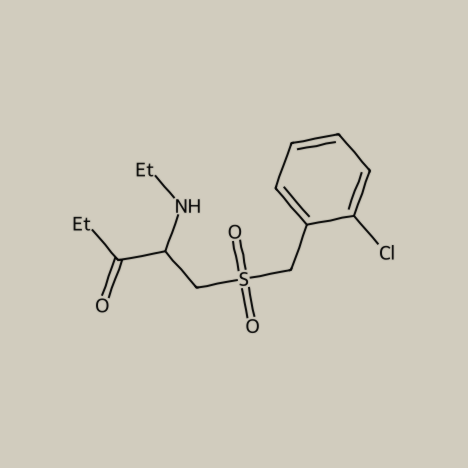 CCNC(CS(=O)(=O)Cc1ccccc1Cl)C(=O)CC